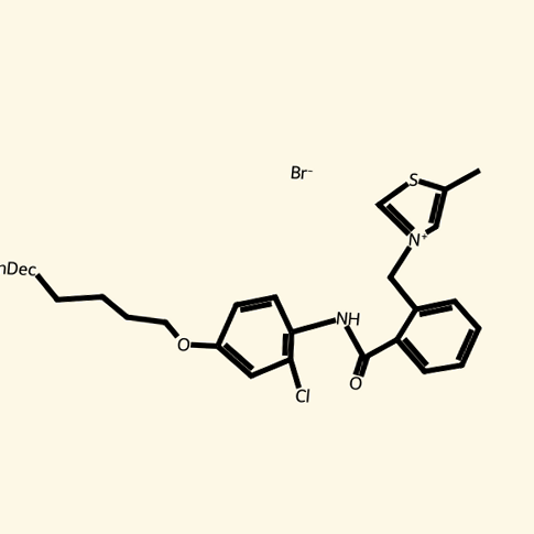 CCCCCCCCCCCCCCOc1ccc(NC(=O)c2ccccc2C[n+]2csc(C)c2)c(Cl)c1.[Br-]